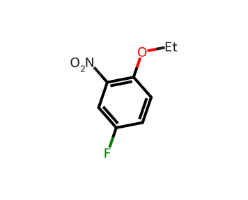 CCOc1ccc(F)cc1[N+](=O)[O-]